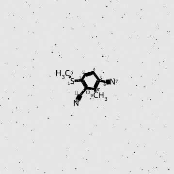 CSc1ccc(C#N)c(C)c1C#N